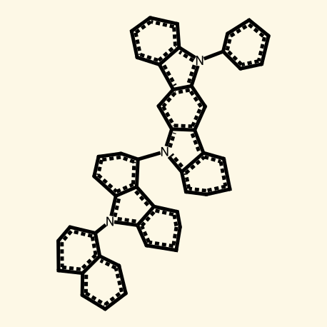 c1ccc(-n2c3ccccc3c3cc4c(cc32)c2ccccc2n4-c2cccc3c2c2ccccc2n3-c2cccc3ccccc23)cc1